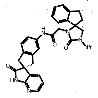 CC(C)N1CC2(CCc3ccccc32)N(CC(=O)Nc2ccc3c(c2)C[C@@]2(C3)C(=O)Nc3ncccc32)C1=O